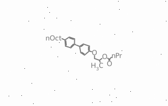 CCCCCCCCc1ccc(-c2ccc(OCC(C)OC(=O)CCC)cc2)cc1